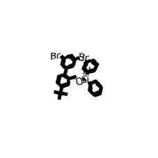 CC(C)(C)c1ccc(-c2cc(Br)cc(Br)c2)c(CO[SiH](c2ccccc2)c2ccccc2)c1